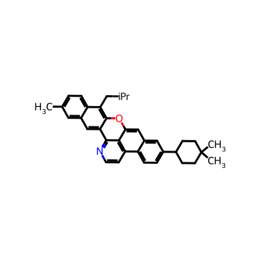 Cc1ccc2c(CC(C)C)c3c(cc2c1)-c1nccc2c1c(cc1cc(C4CCC(C)(C)CC4)ccc12)O3